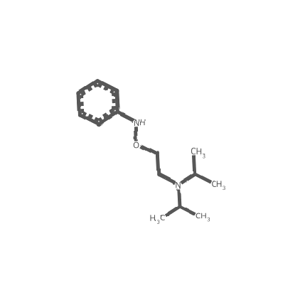 CC(C)N(CCONc1ccccc1)C(C)C